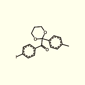 Cc1ccc(C2(C(=O)c3ccc(I)cc3)OCCCO2)cc1